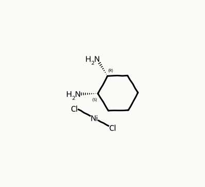 N[C@@H]1CCCC[C@@H]1N.[Cl][Ni][Cl]